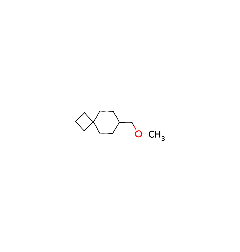 COCC1CCC2(CCC2)CC1